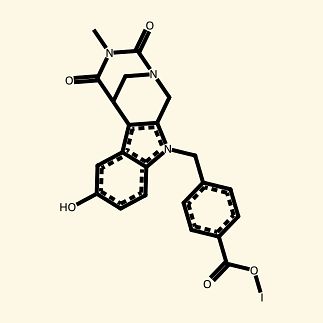 CN1C(=O)C2CN(Cc3c2c2cc(O)ccc2n3Cc2ccc(C(=O)OI)cc2)C1=O